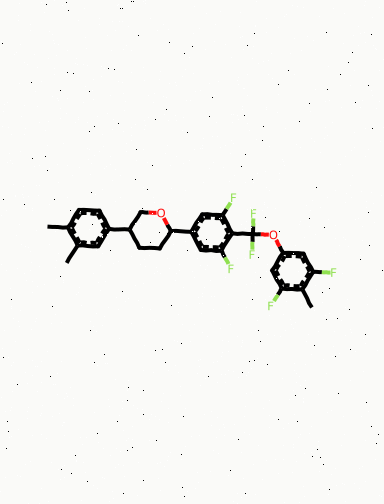 Cc1ccc(C2CCC(c3cc(F)c(C(F)(F)Oc4cc(F)c(C)c(F)c4)c(F)c3)OC2)cc1C